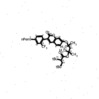 CCCCCc1ccc(-c2cc3ccc(OC(C)(C)CC(C)(C)OC(=O)C(CC(C)(C)C)C(C)(C)C)cc3oc2=O)c(C(F)(F)F)c1